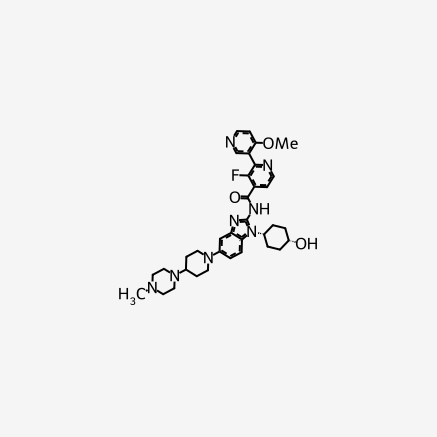 COc1ccncc1-c1nccc(C(=O)Nc2nc3cc(N4CCC(N5CCN(C)CC5)CC4)ccc3n2[C@H]2CC[C@@H](O)CC2)c1F